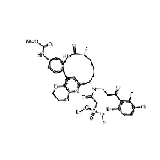 CCOP(=O)(CC(=O)N(CCC(=O)c1c(Br)ccc(Cl)c1F)[C@H]1CCC[C@@H](C)C(=O)Nc2cc(NC(=O)OC)ccc2-c2cc1nc1c2OCCO1)OCC